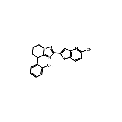 N#Cc1ccc2[nH]c(-c3nc4n(n3)CCCC4c3ccccc3C(F)(F)F)cc2n1